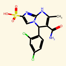 CC1=C(C(N)=O)C(c2ccc(Cl)cc2Cl)n2cc(S(=O)(=O)O)nc2N1